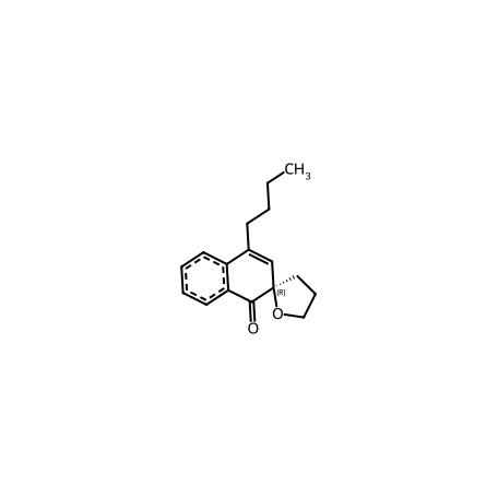 CCCCC1=C[C@]2(CCCO2)C(=O)c2ccccc21